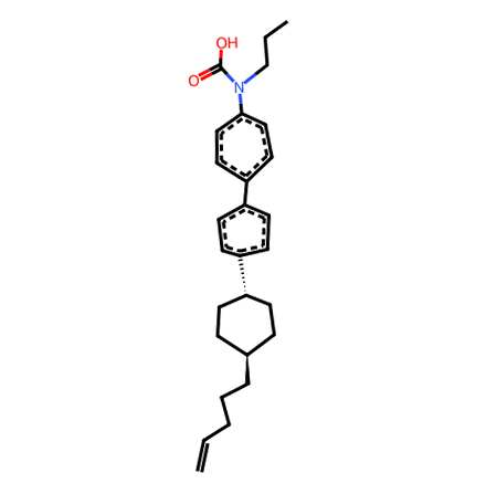 C=CCCC[C@H]1CC[C@H](c2ccc(-c3ccc(N(CCC)C(=O)O)cc3)cc2)CC1